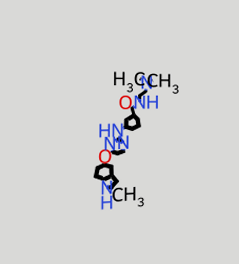 Cc1cc2cc(Oc3ccnc(Nc4cccc(C(=O)NCCN(C)C)c4)n3)ccc2[nH]1